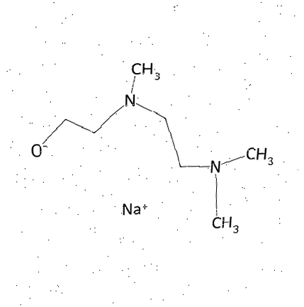 CN(C)CCN(C)CC[O-].[Na+]